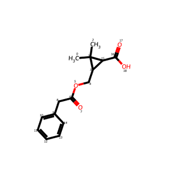 CC1(C)C(COC(=O)Cc2ccccc2)C1C(=O)O